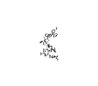 C#C[C@]1(CO)O[C@@H](n2cnc3c(N)nc(F)nc32)C[C@@H]1OC(=O)OCC